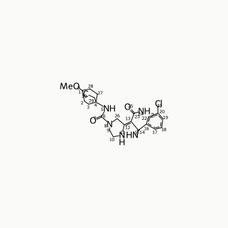 COC12CCC(NC(=O)N3CCN/C(=C(\C(=N)c4cccc(Cl)c4)C(N)=O)C3)(CC1)CC2